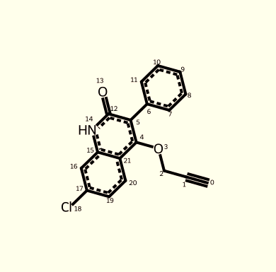 C#CCOc1c(-c2ccccc2)c(=O)[nH]c2cc(Cl)ccc12